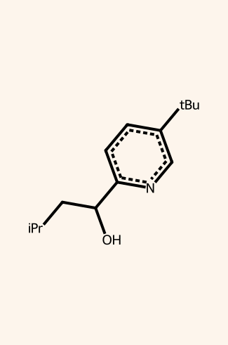 CC(C)CC(O)c1ccc(C(C)(C)C)cn1